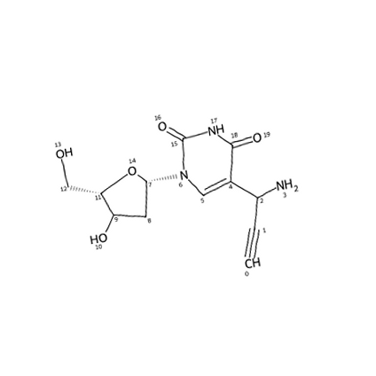 C#CC(N)c1cn([C@@H]2CC(O)[C@H](CO)O2)c(=O)[nH]c1=O